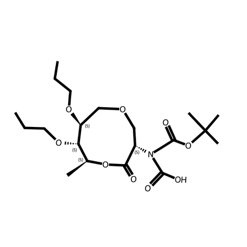 CCCO[C@H]1[C@H](C)OC(=O)[C@@H](N(C(=O)O)C(=O)OC(C)(C)C)COC[C@@H]1OCCC